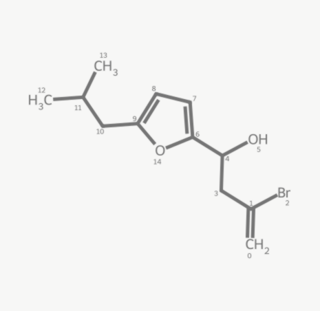 C=C(Br)CC(O)c1ccc(CC(C)C)o1